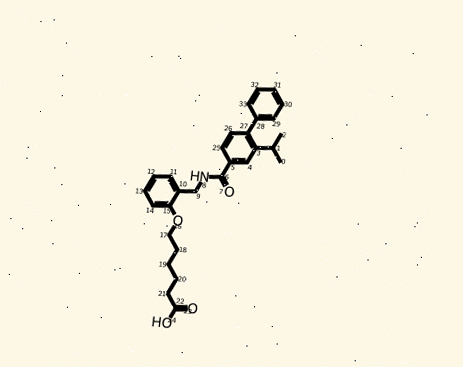 CC(C)c1cc(C(=O)NCc2ccccc2OCCCCCC(=O)O)ccc1-c1ccccc1